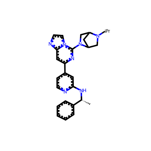 CC(C)N1CC2CC1CN2c1nc(-c2ccnc(N[C@H](C)c3ccccc3)c2)cc2nccn12